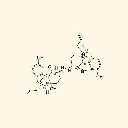 C=CCN1CC[C@]23c4c5ccc(O)c4O[C@H]2/C(=N/N=C2\CC[C@@]4(O)[C@H]6Cc7ccc(O)c8c7[C@@]4(CCN6CC=C)[C@H]2O8)CC[C@@]3(O)[C@H]1C5